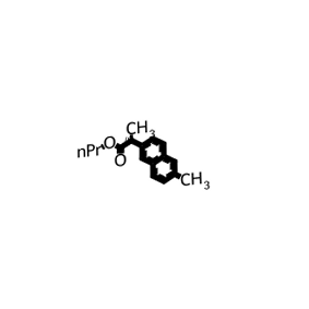 CCCOC(=O)[C@@H](C)c1ccc2cc(C)ccc2c1